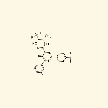 C[C@H](NC(=O)c1cc(-c2ccc(C(F)(F)F)cc2)nn(-c2cccc(F)c2)c1=O)[C@H](O)C(F)(F)F